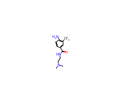 CN(C)CCNC(=O)c1ccc(N)c(C(F)(F)F)c1